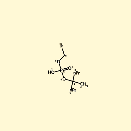 CCCC(C)(CCC)OP(=O)(O)OCF